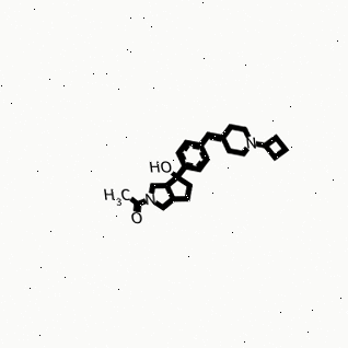 CC(=O)N1CC2CCC(O)(c3ccc(C=C4CCN(C5CCC5)CC4)cc3)C2C1